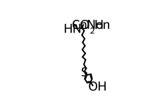 CCCCCCCCCC(CCCCCCCCCCCSc1ccc(O)cc1)NC(=O)O